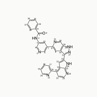 O=C(Nc1cncc(-c2cc3c(-c4cc5c(-c6ccccn6)ccnc5[nH]4)n[nH]c3cn2)c1)c1ccccc1